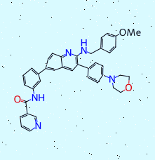 COc1ccc(CNc2nc3ccc(-c4cccc(NC(=O)c5cccnc5)c4)cc3cc2-c2ccc(N3CCOCC3)cc2)cc1